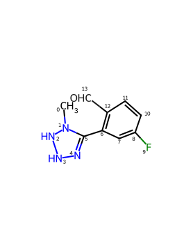 CN1NNN=C1c1cc(F)ccc1C=O